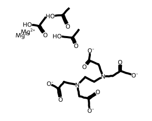 CC(=O)O.CC(=O)O.CC(=O)O.O=C([O-])CN(CCN(CC(=O)[O-])CC(=O)[O-])CC(=O)[O-].[Mg+2].[Mg+2]